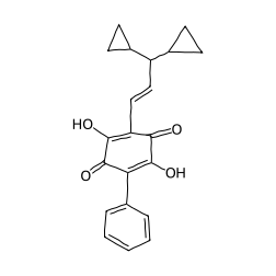 O=C1C(O)=C(c2ccccc2)C(=O)C(O)=C1C=CC(C1CC1)C1CC1